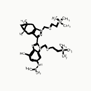 CB(O)Nc1cc(C#N)c2nc(-c3nn(COCC[Si](C)(C)C)c4c3C[C@@H]3C[C@]3(C)C4)n(COCC[Si](C)(C)C)c2c1